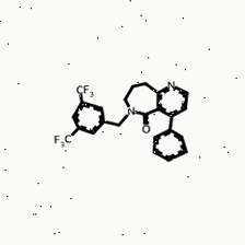 O=C1c2c(-c3ccccc3)ccnc2CCCN1Cc1cc(C(F)(F)F)cc(C(F)(F)F)c1